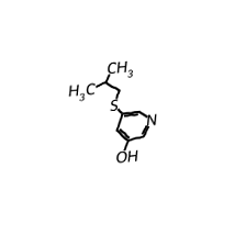 CC(C)CSc1cncc(O)c1